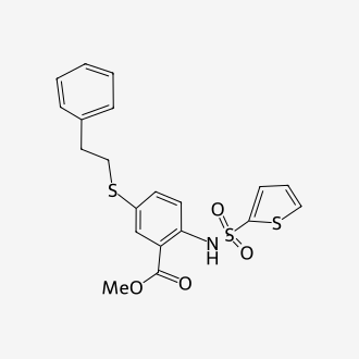 COC(=O)c1cc(SCCc2ccccc2)ccc1NS(=O)(=O)c1cccs1